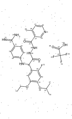 CCOc1cc(C(Nc2ccc(C(=N)N)cc2)C(=O)NNC(=O)c2cnccc2C)c(F)cc1OC(C)C.O=C(O)C(F)(F)F